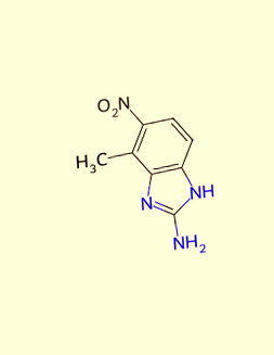 Cc1c([N+](=O)[O-])ccc2[nH]c(N)nc12